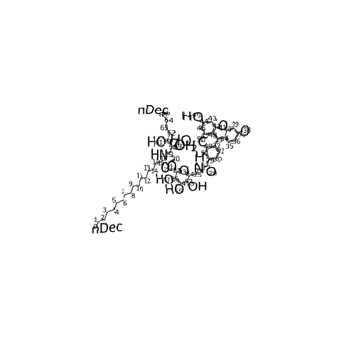 CCCCCCCCCCCCCCCCCCCCCCCCCC(=O)N[C@@H](COC1OC(CNC(=O)c2ccc(-c3c4ccc(=O)cc-4oc4cc(O)ccc34)c(C(=O)O)c2)C(O)C(O)C1O)C(O)C(O)CCCCCCCCCCCCCC